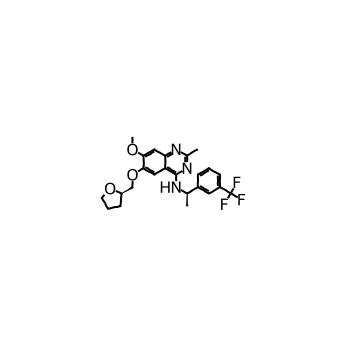 COc1cc2nc(C)nc(N[C@H](C)c3cccc(C(F)(F)F)c3)c2cc1OC[C@H]1CCCO1